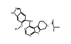 CC(C)Oc1cc2[nH]ncc2cc1Nc1ncnc2sc3c(c12)CC[C@H](C(=O)N(C)C)C3